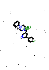 Cc1ccccc1N1CCN(Cc2cncc(-c3ccc(F)cc3)c2)CC1.Cl.Cl